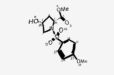 COC(=O)[C@H]1C[C@@H](O)CN1S(=O)(=O)c1ccc(OC)cc1